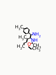 C=C/C=C(C)/C(NC(C)O/C=C\C)=C(/N)c1ccc(C)cc1